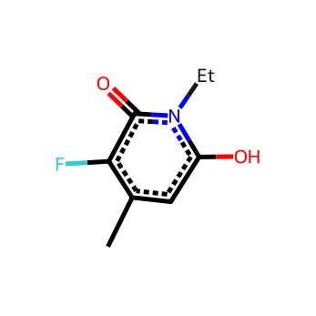 CCn1c(O)cc(C)c(F)c1=O